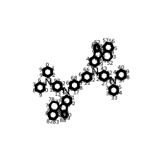 c1ccc(N(c2ccccc2)c2ccc(N(c3ccc(-c4ccc(N(c5ccc(N(c6ccccc6)c6ccccc6)cc5)c5ccc6c(c5)C5(CCCc7ccccc75)c5ccccc5-6)cc4)cc3)c3ccc4c(c3)C3(CCCc5ccccc53)c3ccccc3-4)cc2)cc1